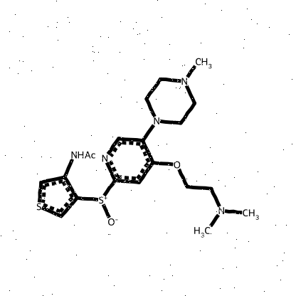 CC(=O)Nc1cscc1[S+]([O-])c1cc(OCCN(C)C)c(N2CCN(C)CC2)cn1